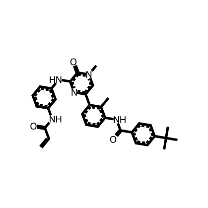 C=CC(=O)Nc1cccc(Nc2nc(-c3cccc(NC(=O)c4ccc(C(C)(C)C)cc4)c3C)cn(C)c2=O)c1